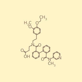 CCOc1ccc(CCN(CCC(=O)O)C(=O)c2ccccc2-c2ccccc2C(=O)N(C)c2cccnc2)cc1OC